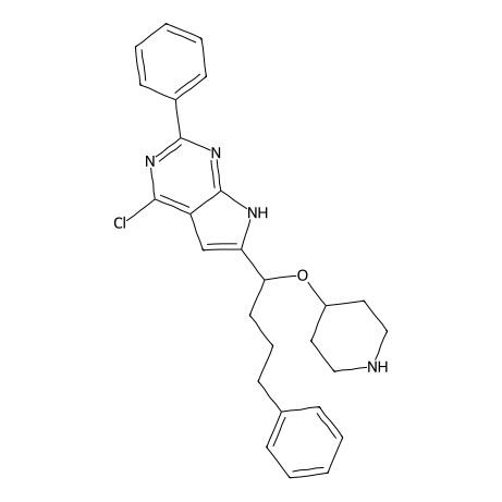 Clc1nc(-c2ccccc2)nc2[nH]c(C(CCCc3ccccc3)OC3CCNCC3)cc12